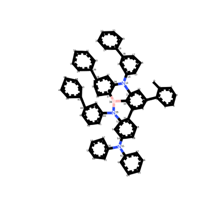 Cc1ccccc1-c1cc2c3c(c1)N(c1cccc(-c4ccccc4)c1)c1cc(-c4ccccc4)ccc1B3N(c1cccc(-c3ccccc3)c1)c1cc(N(c3ccccc3)c3ccccc3)ccc1-2